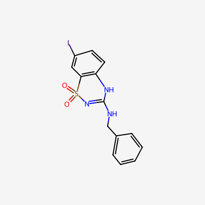 O=S1(=O)N=C(NCc2ccccc2)Nc2ccc(I)cc21